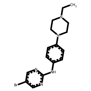 CCN1CCN(c2ccc(Nc3ncc(Br)cn3)cc2)CC1